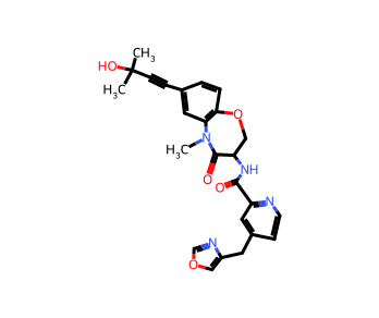 CN1C(=O)C(NC(=O)c2cc(Cc3cocn3)ccn2)COc2ccc(C#CC(C)(C)O)cc21